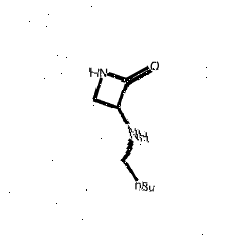 CCCCCNC1CNC1=O